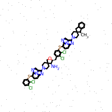 CC1c2ccccc2CC12CCN(c1nc3ccc(Sc4ccc(C[C@@H]5OCC6(CCN(c7nc8ccc(Sc9cccc(Cl)c9Cl)c9ncc7n89)CC6)[C@@H]5N)c(Cl)c4Cl)c4ncc1n34)CC2